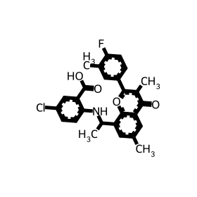 Cc1cc(C(C)Nc2ccc(Cl)cc2C(=O)O)c2oc(-c3ccc(F)c(C)c3)c(C)c(=O)c2c1